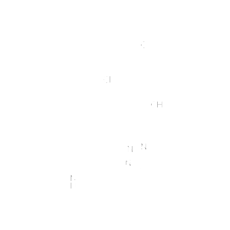 Cc1cc(C(CCC2CCCNC2)n2nccn2)ccc1-c1ccc(Cl)cc1Cl